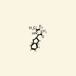 C=C(C)N[C@H](C(C)=O)C1Cc2ccccc2C1